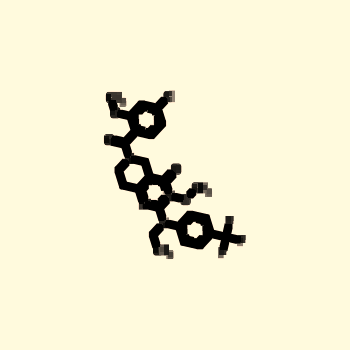 CCN(c1ccc(C(F)(F)F)cc1)c1nc2c(c(=O)n1OC)CN(C(=O)c1ccc(Cl)cc1OC)CC2